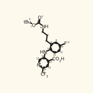 CC(C)(C)OC(=O)NCCCc1cc(F)ccc1Nc1cnc(C(F)(F)F)cc1C(=O)O